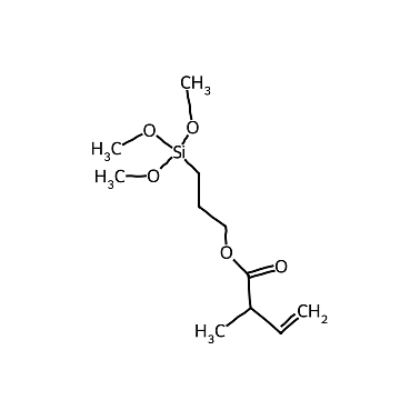 C=CC(C)C(=O)OCCC[Si](OC)(OC)OC